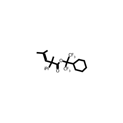 CC(C)=CC(C)(C(=O)OC(C1CCCCC1)(C(F)(F)F)C(F)(F)F)C(C)C